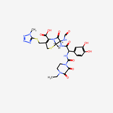 CCN1CCN(C(=O)NC(C(=O)N[C@]2(NC=O)C(=O)N3C(C(=O)O)=C(CSc4nnnn4C)CS[C@H]32)c2ccc(O)c(O)c2)C(=O)C1=O